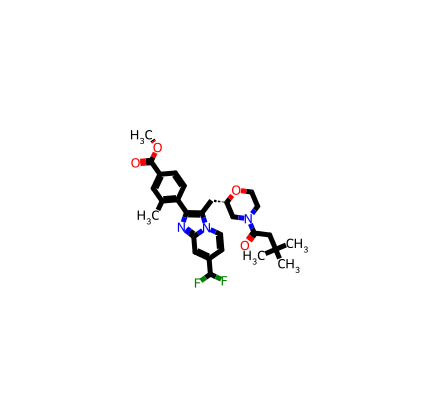 COC(=O)c1ccc(-c2nc3cc(C(F)F)ccn3c2C[C@H]2CN(C(=O)CC(C)(C)C)CCO2)c(C)c1